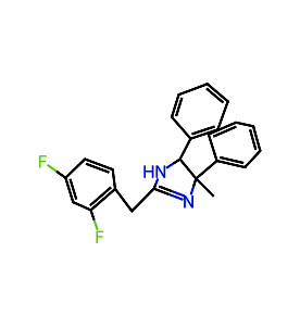 CC1(c2ccccc2)N=C(Cc2ccc(F)cc2F)NC1c1ccccc1